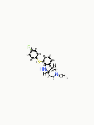 CN1CC[C@@H]2Nc3c(Sc4ccc(F)cc4)cccc3[C@H]2C1